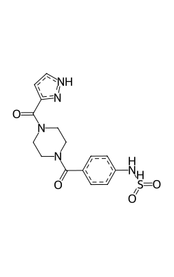 O=C(c1ccc(N[SH](=O)=O)cc1)N1CCN(C(=O)c2cc[nH]n2)CC1